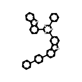 c1ccc(-c2ccc(-c3ccc4oc5ccc(-c6nc(-c7ccccc7)nc(-c7cccc8c7sc7ccccc78)n6)cc5c4c3)cc2)cc1